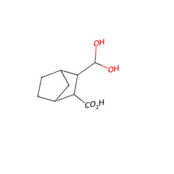 O=C(O)C1C2CCC(C2)C1C(O)O